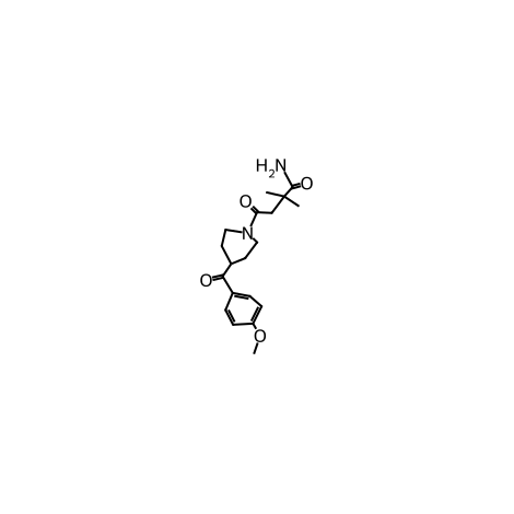 COc1ccc(C(=O)C2CCN(C(=O)CC(C)(C)C(N)=O)CC2)cc1